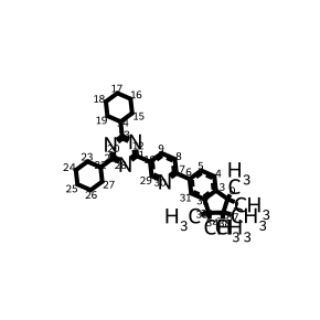 CC1(C)c2ccc(-c3ccc(-c4nc(C5CCCCC5)nc(C5CCCCC5)n4)cn3)cc2C(C)(C)C1(C)C